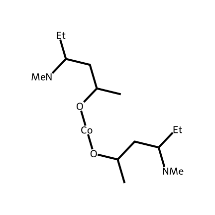 CCC(CC(C)[O][Co][O]C(C)CC(CC)NC)NC